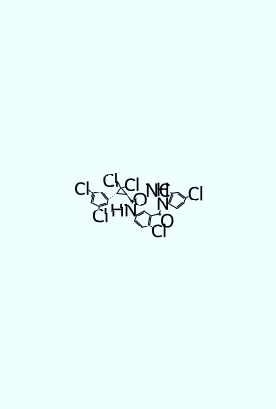 N#Cc1cc(Cl)ccc1NC(=O)c1cc(NC(=O)[C@H]2[C@H](c3cc(Cl)cc(Cl)c3)C2(Cl)Cl)ccc1Cl